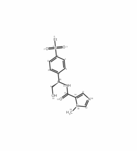 CCS(=O)(=O)c1ccc([C@H](CO)NC(=O)c2cncn2C)cc1